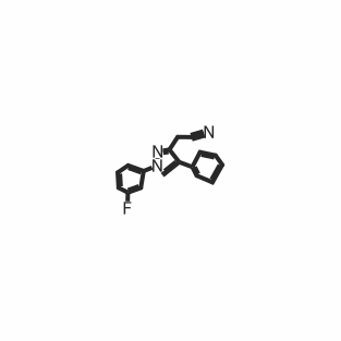 N#CCc1nn(-c2cccc(F)c2)cc1-c1ccccc1